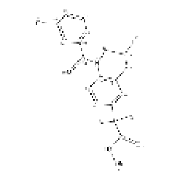 CC(C)(C)OC(=O)C(C)(C)c1ccc2c(c1)CC(F)CN2C(=O)c1cccc(Cl)c1